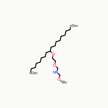 CCCCCCCCCCCCCCCCCCC(CCCCCCCCCCCCCCCCC)OCCOCNCOC(C)(C)C